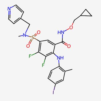 Cc1cc(I)ccc1Nc1c(C(=O)NOCC2CC2)cc(S(=O)(=O)N(C)Cc2ccncc2)c(F)c1F